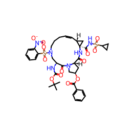 CC(C)(C)OC(=O)N[C@H]1CN(S(=O)(=O)c2ccccc2[N+](=O)[O-])CCC/C=C\[C@@H]2C[C@@]2(C(=O)NS(=O)(=O)C2CC2)NC(=O)[C@@H]2C[C@@H](OC(=O)c3ccccc3)CN2C1=O